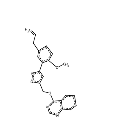 C=CCc1ccc(OC)c(-c2cc(COc3ncnc4ccccc34)on2)c1